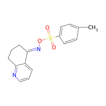 Cc1ccc(S(=O)(=O)O/N=C2\CCCc3ncccc32)cc1